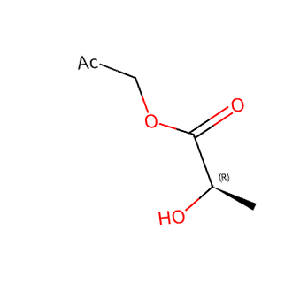 CC(=O)COC(=O)[C@@H](C)O